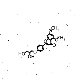 COc1cc(OC)c2c(=O)cc(-c3ccc(OCC(O)CO)cc3)oc2c1